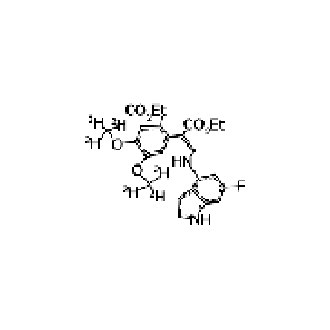 [2H]C([2H])([2H])Oc1cc(C(=O)OCC)c(C(=CNc2cc(F)cc3[nH]ccc23)C(=O)OCC)cc1OC([2H])([2H])[2H]